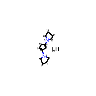 C1=C(N2CCCC2)C=C(N2CCCC2)C1.[LiH]